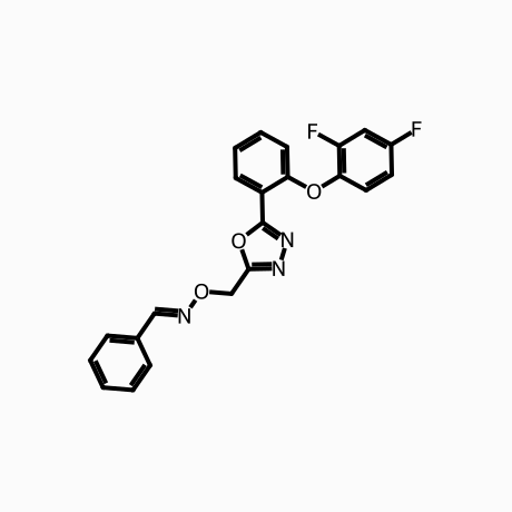 Fc1ccc(Oc2ccccc2-c2nnc(CON=Cc3ccccc3)o2)c(F)c1